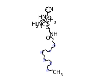 CC/C=C\C/C=C\C/C=C\C/C=C\C/C=C\C/C=C\CCC(=O)NCCSSC(C)(C)[C@@H](CN)NC(=O)c1cccnc1